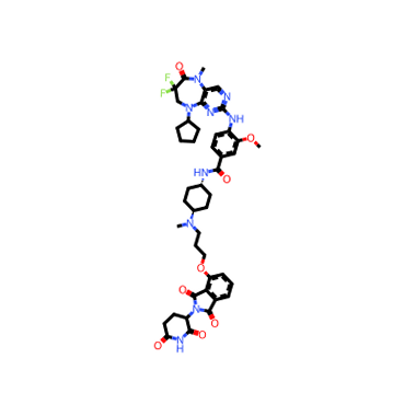 COc1cc(C(=O)N[C@H]2CC[C@H](N(C)CCCOc3cccc4c3C(=O)N(C3CCC(=O)NC3=O)C4=O)CC2)ccc1Nc1ncc2c(n1)N(C1CCCC1)CC(F)(F)C(=O)N2C